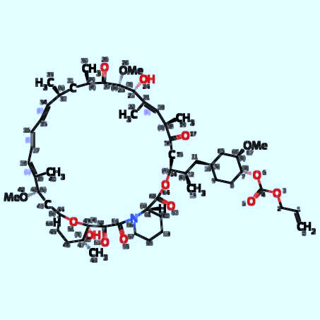 C=CCOC(=O)O[C@@H]1CC[C@@H](C[C@@H](C)[C@@H]2CC(=O)[C@H](C)/C=C(\C)[C@@H](O)[C@@H](OC)C(=O)[C@H](C)C[C@H](C)/C=C/C=C/C=C(\C)[C@@H](OC)C[C@@H]3CC[C@@H](C)[C@@](O)(O3)C(=O)C(=O)N3CCCC[C@H]3C(=O)O2)C[C@H]1OC